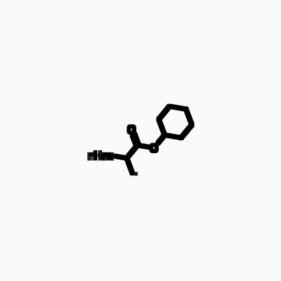 [CH2]C(CCCCCC)C(=O)OC1CCCCC1